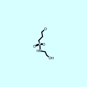 [O]CCCS(=O)(=O)NCCO